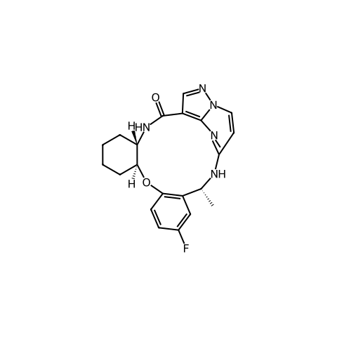 C[C@H]1Nc2ccn3ncc(c3n2)C(=O)N[C@H]2CCCC[C@@H]2Oc2ccc(F)cc21